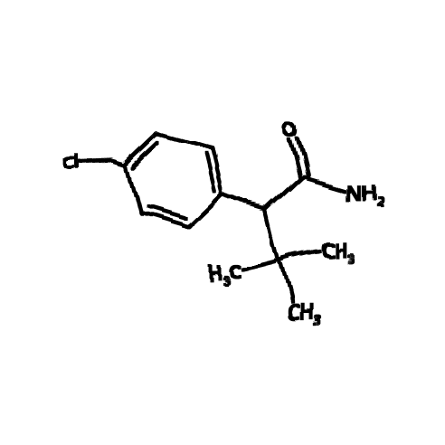 CC(C)(C)C(C(N)=O)c1ccc(Cl)cc1